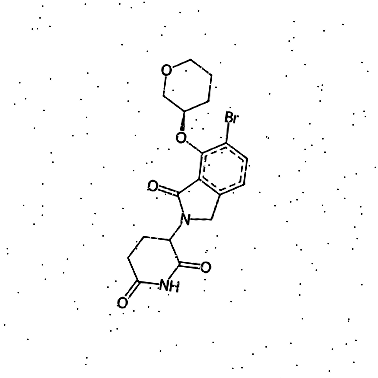 O=C1CCC(N2Cc3ccc(Br)c(O[C@@H]4CCCOC4)c3C2=O)C(=O)N1